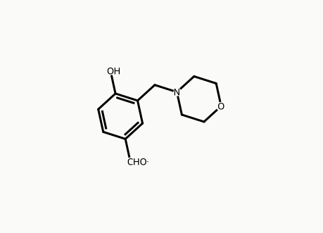 O=[C]c1ccc(O)c(CN2CCOCC2)c1